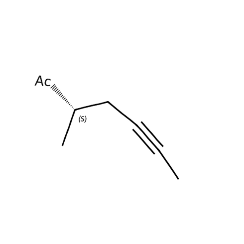 CC#CC[C@H](C)C(C)=O